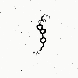 CCCCC1CC=C(c2ccc3cc(OC(=O)CC)ccc3c2)CC1